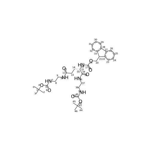 CC(C)(C)OC(=O)NCCNC(=O)CC[C@H](NC(=O)OCC1c2ccccc2-c2ccccc21)C(=O)NCCNC(=O)OC(C)(C)C